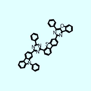 c1ccc(-c2nc(-c3ccc4c5ccccc5n(-c5ccccc5)c4c3)nc(-c3cccc4c3sc3cc(-c5nc(-c6ccccc6)c6oc7ccccc7c6n5)ccc34)n2)cc1